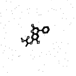 COC(=O)C(C)Oc1cc2oc(=O)cc(-c3ccccc3)c2cc1Cl